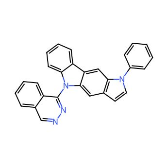 c1ccc(-n2ccc3cc4c(cc32)c2ccccc2n4-c2nncc3ccccc23)cc1